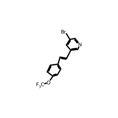 FC(F)(F)Oc1ccc(C=Cc2cncc(Br)c2)cc1